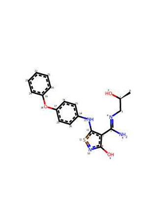 C[C@H](O)CN=C(N)c1c(O)nsc1Nc1ccc(Oc2ccccc2)cc1